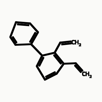 C=Cc1cccc(-c2ccccc2)c1C=C